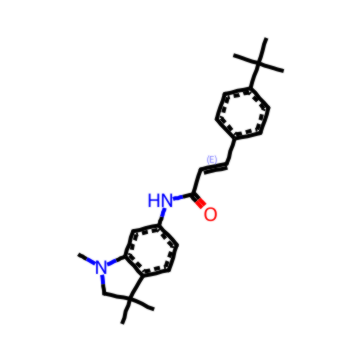 CN1CC(C)(C)c2ccc(NC(=O)/C=C/c3ccc(C(C)(C)C)cc3)cc21